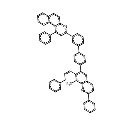 Nc1c(/C=C\Cc2ccccc2)c(-c2ccc(-c3cccc(-c4cc(-c5ccccc5)c5c(ccc6ccccc65)n4)c3)cc2)cc2ccc(-c3ccccc3)nc12